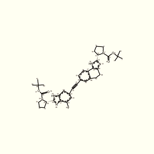 CC(C)(C)OC(=O)N1CCC[C@H]1c1nc2c([nH]1)-c1ccc(C#Cc3cc(F)c4nc([C@@H]5CCCN5C(=O)OC(C)(C)C)[nH]c4c3)cc1CC2